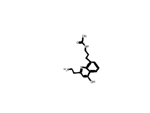 NCCc1cc(O)c2cccc(CCCNC(=O)O)c2n1